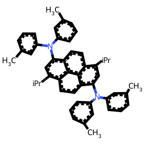 Cc1cccc(N(c2cccc(C)c2)c2cc(C(C)C)c3ccc4c(N(c5cccc(C)c5)c5cccc(C)c5)cc(C(C)C)c5ccc2c3c54)c1